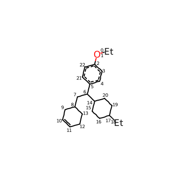 CCOc1ccc(C(CC2CC=CCC2)C2CCC(CC)CC2)cc1